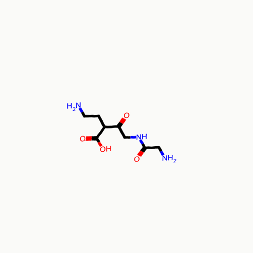 NCCC(C(=O)O)C(=O)CNC(=O)CN